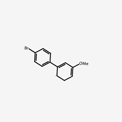 COC1=CC[CH]C(c2ccc(Br)cc2)=C1